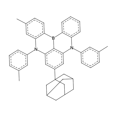 Cc1cccc(N2c3ccccc3B3c4ccc(C)cc4N(c4cccc(C)c4)c4cc(C56CC7CC(CC(C7)C5)C6)cc2c43)c1